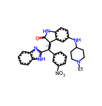 CCN1CCC(Nc2ccc3c(c2)/C(=C(\c2cccc([N+](=O)[O-])c2)c2nc4ccccc4[nH]2)C(=O)N3)CC1